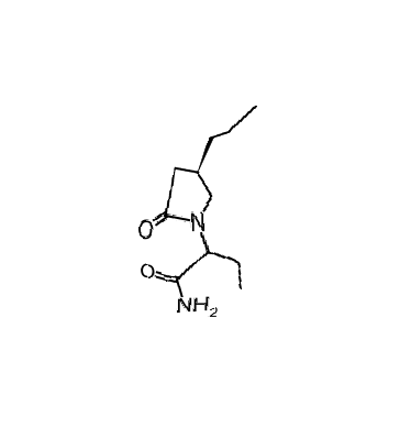 CCC[C@@H]1CC(=O)N(C(CC)C(N)=O)C1